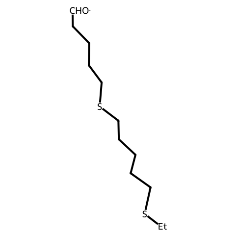 CCSCCCCCSCCCC[C]=O